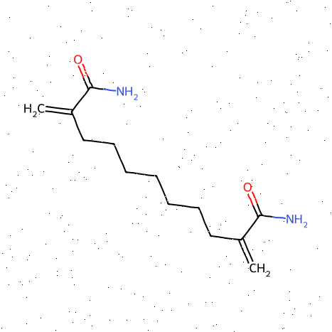 C=C(CCCCCCCC(=C)C(N)=O)C(N)=O